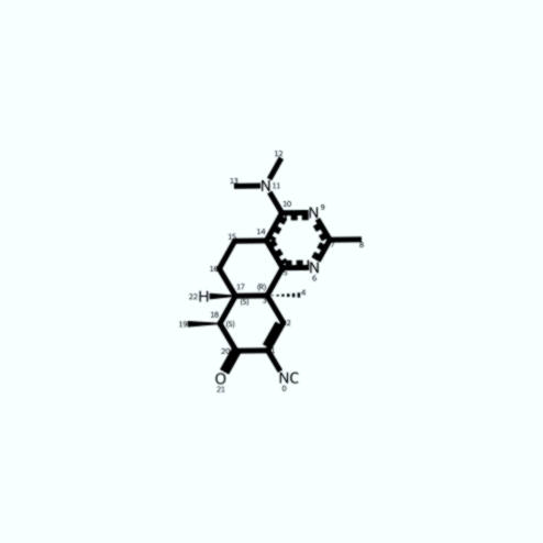 [C-]#[N+]C1=C[C@]2(C)c3nc(C)nc(N(C)C)c3CC[C@H]2[C@H](C)C1=O